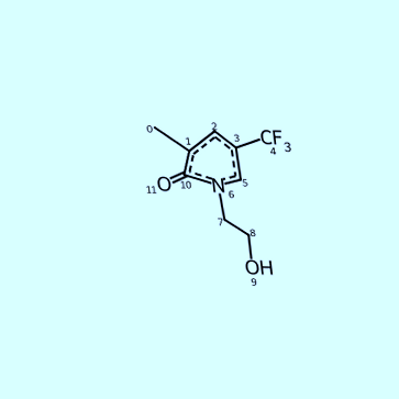 Cc1cc(C(F)(F)F)cn(CCO)c1=O